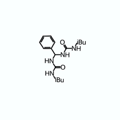 CCC(C)NC(=O)NC(NC(=O)NC(C)CC)c1ccccc1